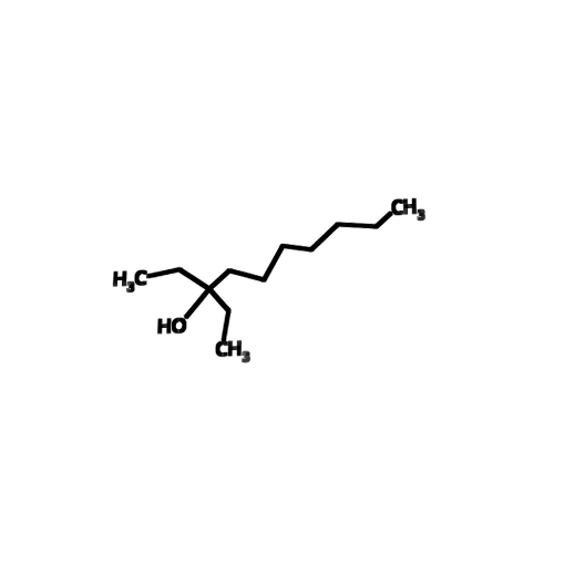 CCCCCCCC(O)(CC)CC